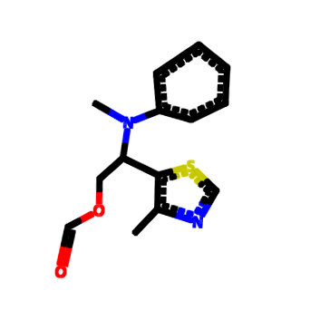 Cc1ncsc1C(COC=O)N(C)c1ccccc1